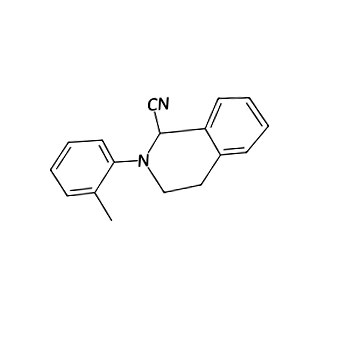 Cc1ccccc1N1CCc2ccccc2C1C#N